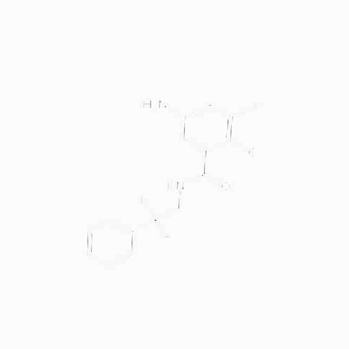 Nc1cc(F)c(Cl)c(C(=O)NCC(F)(F)c2ccccc2)c1